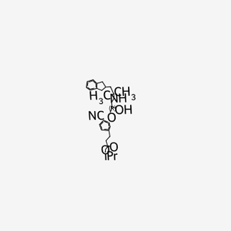 CC(C)OC(=O)CCc1ccc(C#N)c(OC[C@H](O)CNC(C)(C)CC2Cc3ccccc3C2)c1